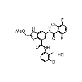 COCc1nc2c(C(=O)Nc3cccc(Cl)c3C)cc(NC(=O)c3c(F)ccc(F)c3Cl)cc2[nH]1.Cl